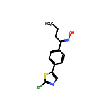 O=C(O)CC/C(=N\O)c1ccc(-c2cnc(Cl)s2)cc1